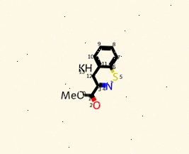 COC(=O)C1=NSc2ccccc2C1.[KH]